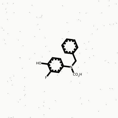 O=C(O)N(Cc1ccccc1)c1ccc(O)c(F)c1